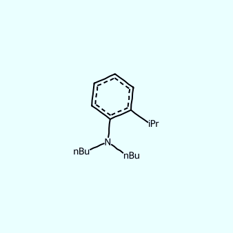 CCCCN(CCCC)c1ccccc1C(C)C